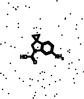 Nc1ccc2c(c1)N(C(=O)O)CC21CC1